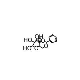 OC1OC2COC(c3ccccc3)O[C@H]2[C@H](O)C1O